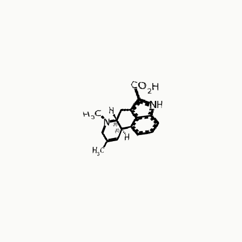 CC1=C[C@@H]2c3cccc4[nH]c(C(=O)O)c(c34)C[C@H]2N(C)C1